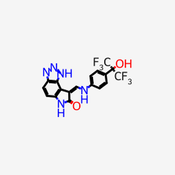 O=C1Nc2ccc3nn[nH]c3c2C1=CNc1ccc(C(O)(C(F)(F)F)C(F)(F)F)cc1